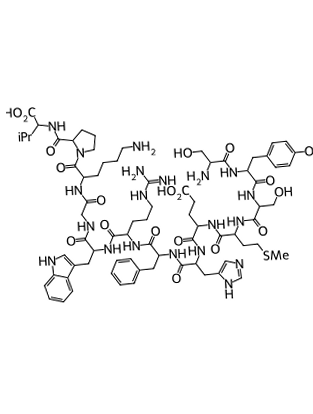 CSCCC(NC(=O)C(CO)NC(=O)C(Cc1ccc(O)cc1)NC(=O)C(N)CO)C(=O)NC(CCC(=O)O)C(=O)NC(Cc1cnc[nH]1)C(=O)NC(Cc1ccccc1)C(=O)NC(CCCNC(=N)N)C(=O)NC(Cc1c[nH]c2ccccc12)C(=O)NCC(=O)NC(CCCCN)C(=O)N1CCCC1C(=O)NC(C(=O)O)C(C)C